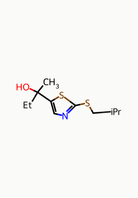 CCC(C)(O)c1cnc(SCC(C)C)s1